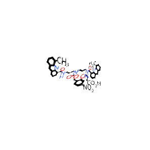 Cc1cccc2cc3cccc(C(=O)NCCCN(CCCNC(=O)c4cccc5cc6cccc(C)c6nc45)C(=O)OCc4ccc([N+](=O)[O-])cc4OCCCC(=O)O)c3nc12